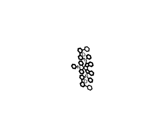 c1ccc(N2c3ccccc3C3(c4ccccc42)c2cc(N(c4ccccc4)c4cccc5c4oc4c(C6CCCCC6)cccc45)c4ccccc4c2-c2c3cc(N(c3ccccc3)c3cccc4c3oc3c(C5CCCCC5)cccc34)c3ccccc23)cc1